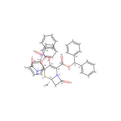 CC(=O)NC1(Oc2ccccc2)S[C@@H]2CC(=O)N2C(C(=O)OC(c2ccccc2)c2ccccc2)=C1OP(=O)(c1ccccc1)c1ccccc1